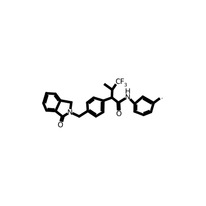 [CH2]c1cccc(NC(=O)C(c2ccc(CN3Cc4ccccc4C3=O)cc2)C(C)C(F)(F)F)c1